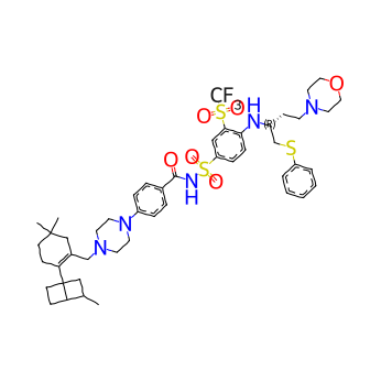 CC1CC2(C3=C(CN4CCN(c5ccc(C(=O)NS(=O)(=O)c6ccc(N[C@H](CCN7CCOCC7)CSc7ccccc7)c(S(=O)(=O)C(F)(F)F)c6)cc5)CC4)CC(C)(C)CC3)CCC12